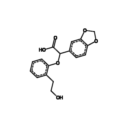 O=C(O)C(Oc1ccccc1CCO)c1ccc2c(c1)OCO2